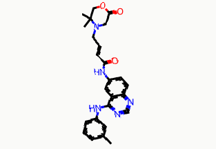 Cc1cccc(Nc2ncnc3ccc(NC(=O)C=CCN4CC(=O)OCC4(C)C)cc23)c1